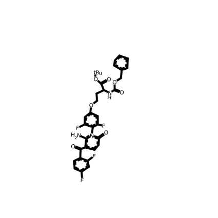 CC(C)(C)OC(=O)C(CCOc1cc(F)c(-n2c(N)c(C(=O)c3ccc(F)cc3F)ccc2=O)c(F)c1)NC(=O)OCc1ccccc1